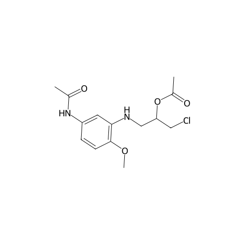 COc1ccc(NC(C)=O)cc1NCC(CCl)OC(C)=O